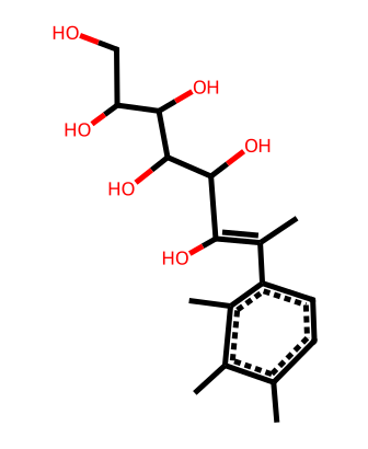 CC(=C(O)C(O)C(O)C(O)C(O)CO)c1ccc(C)c(C)c1C